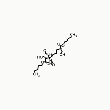 CCCCCOC(=O)[C@@H](CO)CCCCC(NC=O)(NC=O)[C@H](CO)C(=O)OCCCCC